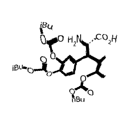 CCCCOC(=O)OC(C)C(C)C(c1ccc(OC(=O)OC(C)CC)c(OC(=O)OC(C)CC)c1)[C@H](N)C(=O)O